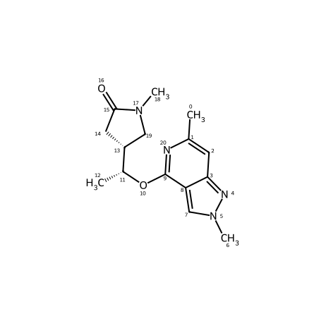 Cc1cc2nn(C)cc2c(O[C@H](C)[C@@H]2CC(=O)N(C)C2)n1